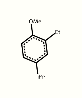 CCc1cc([C](C)C)ccc1OC